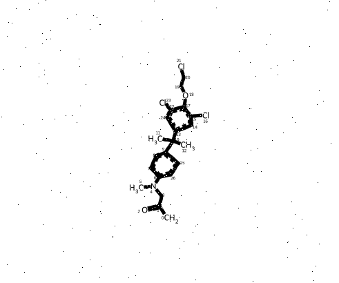 [CH2]C(=O)CN(C)c1ccc(C(C)(C)c2cc(Cl)c(OCCCl)c(Cl)c2)cc1